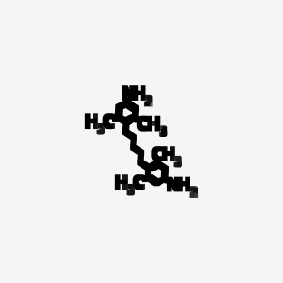 Cc1cc(N)cc(C)c1CCCCCc1c(C)cc(N)cc1C